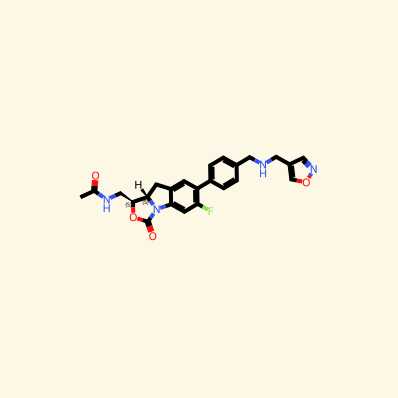 CC(=O)NC[C@@H]1OC(=O)N2c3cc(F)c(-c4ccc(CNCc5cnoc5)cc4)cc3C[C@@H]12